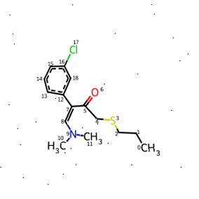 CCCSCC(=O)C(=CN(C)C)c1cccc(Cl)c1